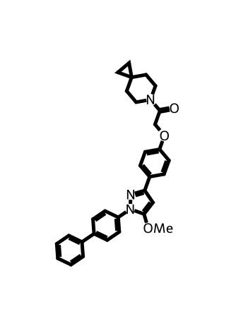 COc1cc(-c2ccc(OCC(=O)N3CCC4(CC3)CC4)cc2)nn1-c1ccc(-c2ccccc2)cc1